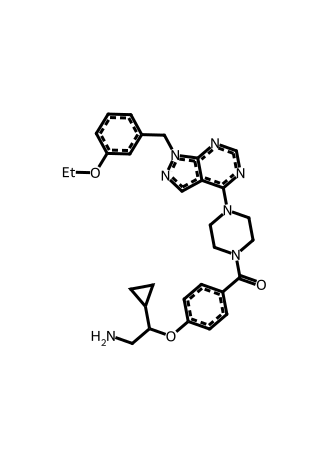 CCOc1cccc(Cn2ncc3c(N4CCN(C(=O)c5ccc(OC(CN)C6CC6)cc5)CC4)ncnc32)c1